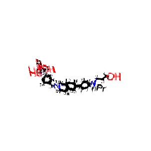 CCCN(CCCO)c1ccc(-c2ccc3c[n+](Cc4ccc(P(=O)(O)O)cc4)ccc3c2)cc1